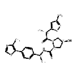 Cc1cc([C@H](C(=O)N2C[C@@H](O)C[C@H]2C(=O)N[C@@H](C)c2ccc(-c3scnc3C)cc2)C(C)C)on1